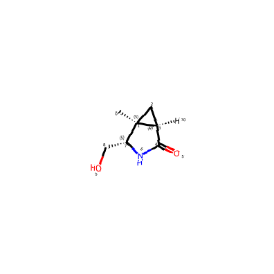 C[C@]12C[C@H]1C(=O)N[C@@H]2CO